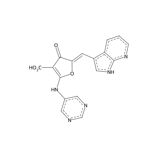 O=C(O)C1=C(Nc2cncnc2)OC(=Cc2c[nH]c3ncccc23)C1=O